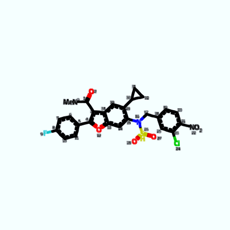 CNC(=O)c1c(-c2ccc(F)cc2)oc2cc(N(Cc3ccc([N+](=O)[O-])c(Cl)c3)[SH](=O)=O)c(C3CC3)cc12